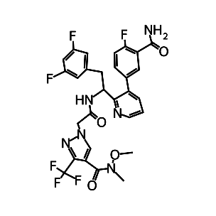 CON(C)C(=O)c1cn(CC(=O)NC(Cc2cc(F)cc(F)c2)c2ncccc2-c2ccc(F)c(C(N)=O)c2)nc1C(F)(F)F